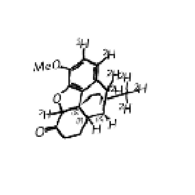 [2H]c1c([2H])c2c3c(c1OC)OC1([2H])C(=O)CC[C@H]4[C@H](N(C([2H])([2H])[2H])CC[C@@]341)C2([2H])[2H]